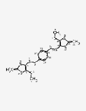 C=C1SC(SC)=C(SCc2ccc(CSC3=C(SC)SC(=C)S3)cc2)S1